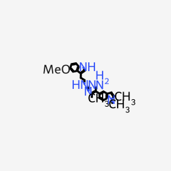 COc1ccc2[nH]cc(CCNc3nc(C)c(-c4ccc5c(c4)cc(C)n5C)c(N)n3)c2c1